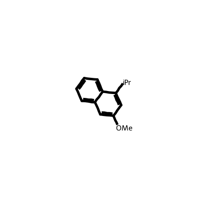 COc1cc(C(C)C)c2ccccc2c1